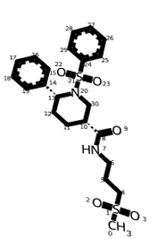 CS(=O)(=O)CCCNC(=O)[C@@H]1CC[C@H](c2ccccc2)N(S(=O)(=O)c2ccccc2)C1